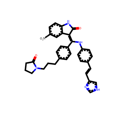 O=C1Nc2ccc([N+](=O)[O-])cc2C1=C(Nc1ccc(C=Cc2c[nH]cn2)cc1)c1ccc(CCCN2CCCC2=O)cc1